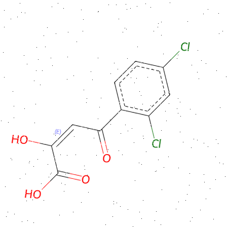 O=C(O)/C(O)=C\C(=O)c1ccc(Cl)cc1Cl